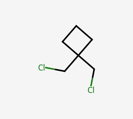 ClCC1(CCl)CCC1